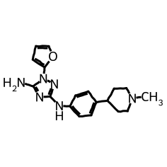 CN1CCC(c2ccc(Nc3nc(N)n(-c4ccco4)n3)cc2)CC1